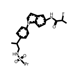 CC(F)C(=O)Nc1ccc2c(ccn2-c2ccc(C(C)CNS(=O)(=O)C(C)C)cc2)c1